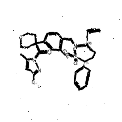 C=C[C@H]1CC[C@H](c2ccccc2)S(=O)(=O)N1Cc1ccc(C2(C(=O)n3nc(N)cc3C)CCOCC2)cc1F